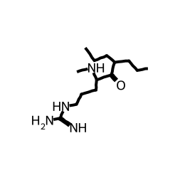 CCCC(CCC)C(=O)C(CCCNC(=N)N)NC